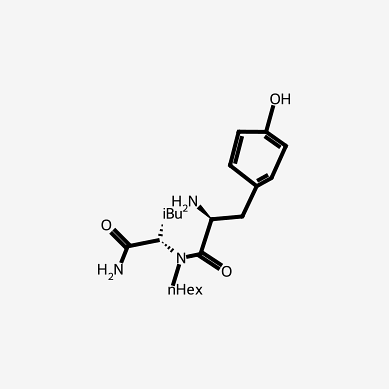 CCCCCCN(C(=O)[C@@H](N)Cc1ccc(O)cc1)[C@H](C(N)=O)[C@@H](C)CC